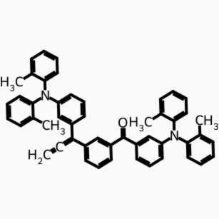 C=C=C(c1cccc(C(=O)c2cccc(N(c3ccccc3C)c3ccccc3C)c2)c1)c1cccc(N(c2ccccc2C)c2ccccc2C)c1